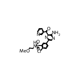 COCCNS(=O)(=O)c1cc(-c2cnc(N)c(C(=O)c3cccnc3)n2)ccc1Cl